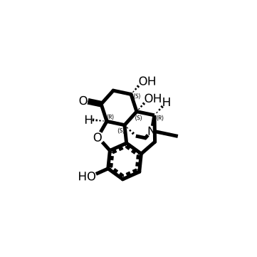 CN1CC[C@]23c4c5ccc(O)c4O[C@H]2C(=O)C[C@H](O)[C@@]3(O)[C@H]1C5